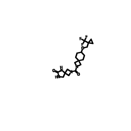 O=C1NCC2(CN(C(=O)N3CC4(CCC(OCC5(C(F)(F)F)CC5)CC4)C3)C2)N1